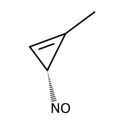 CC1=C[C@H]1N=O